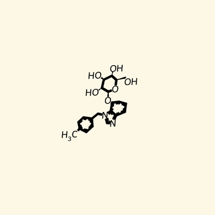 Cc1ccc(Cn2cnc3cccc(O[C@@H]4O[C@H](CO)[C@@H](O)[C@H](O)[C@H]4O)c32)cc1